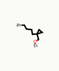 CCOCC1(CCCCC(C)C)CC1